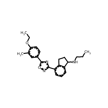 CCCNC1CCc2c(-c3noc(-c4ccc(OCC)c(C)c4)n3)cccc21